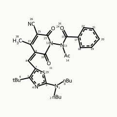 CCCCN(CCCC)c1nc(C(C)(C)C)c(/C=C2\C(=O)N(N(C(C)=O)C(=O)c3ccccc3)C(=O)C(C#N)=C2C)s1